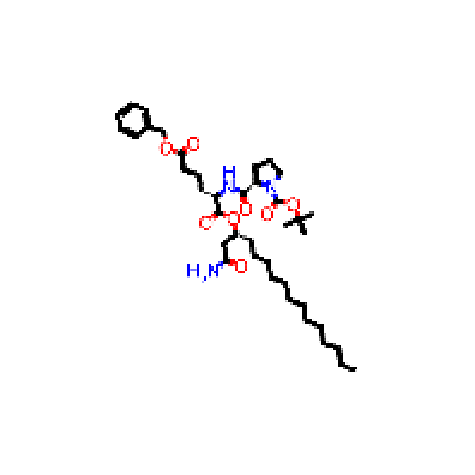 CCCCCCCCCCCCC[C@@H](CC(N)=O)OC(=O)[C@H](CCCC(=O)OCc1ccccc1)NC(=O)[C@H]1CCCN1C(=O)OC(C)(C)C